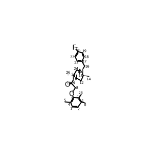 Cc1ccc(C)c(OCC(=O)N2C[C@H](C)N(Cc3ccc(F)cc3)C[C@H]2C)c1C